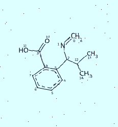 C=NC(c1ccccc1C(=O)O)C(C)C